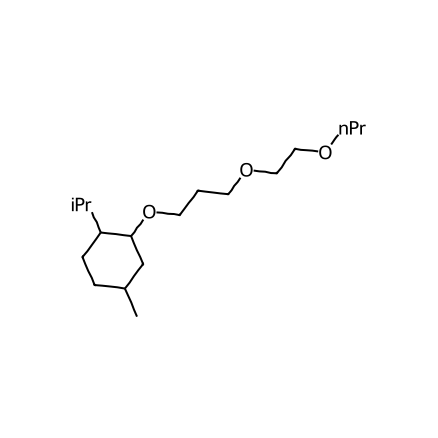 CCCOCCOCCCOC1CC(C)CCC1C(C)C